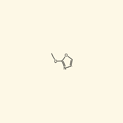 COc1n[c]co1